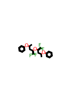 CC(CC(OC(CC(C)Oc1ccccc1)=C(F)F)=C(F)F)Oc1ccccc1